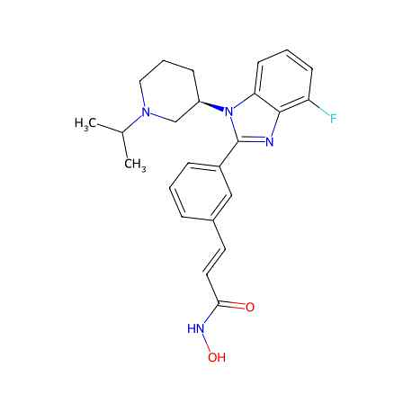 CC(C)N1CCC[C@@H](n2c(-c3cccc(/C=C/C(=O)NO)c3)nc3c(F)cccc32)C1